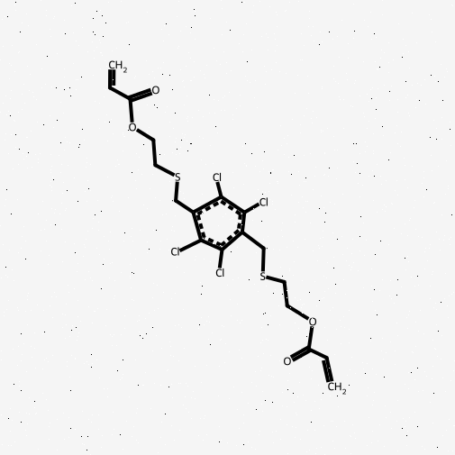 C=CC(=O)OCCS[CH]c1c(Cl)c(Cl)c([CH]SCCOC(=O)C=C)c(Cl)c1Cl